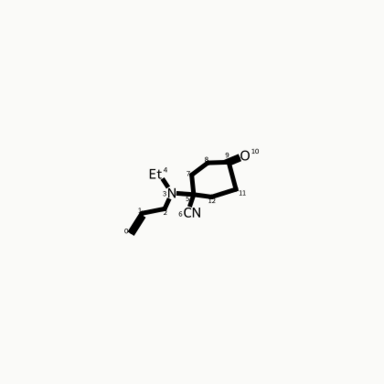 C=CCN(CC)C1(C#N)CCC(=O)CC1